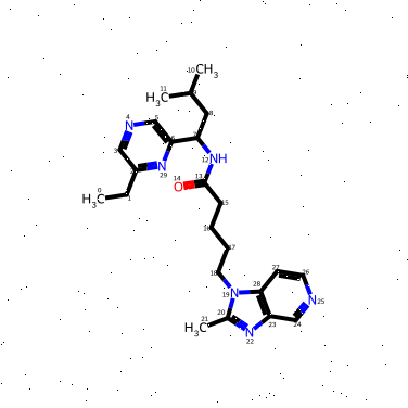 CCc1cncc(C(CC(C)C)NC(=O)CCCCn2c(C)nc3cnccc32)n1